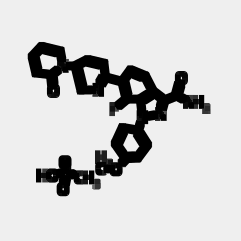 COc1ccc(-n2nc(C(N)=O)c3ccc(-c4ccc(-n5ccccc5=O)cn4)c(F)c32)cc1.CS(=O)(=O)O